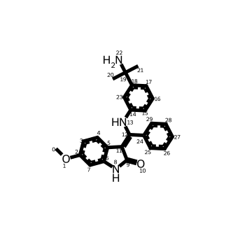 COc1ccc2c(c1)NC(=O)/C2=C(/Nc1cccc(C(C)(C)N)c1)c1ccccc1